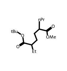 CCCC(CCC(CC)C(=O)OC(C)(C)C)C(=O)OC